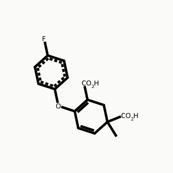 CC1(C(=O)O)C=CC(Oc2ccc(F)cc2)=C(C(=O)O)C1